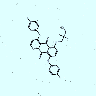 Cc1ccc(Sc2cccc3c2C(=O)c2c(NCC(C)(C)CO)ccc(Sc4ccc(C)cc4)c2C3=O)cc1